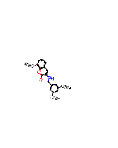 COc1cc(CNc2cc3cccc(OC)c3oc2=O)cc(OC)c1